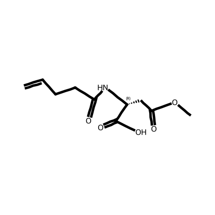 C=CCCC(=O)N[C@H](CC(=O)OC)C(=O)O